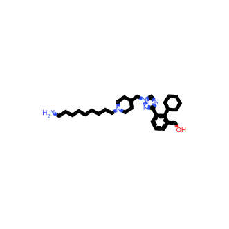 NCCCCCCCCCN1CCC(Cn2cnc(-c3cccc(CO)c3C3CCCCC3)n2)CC1